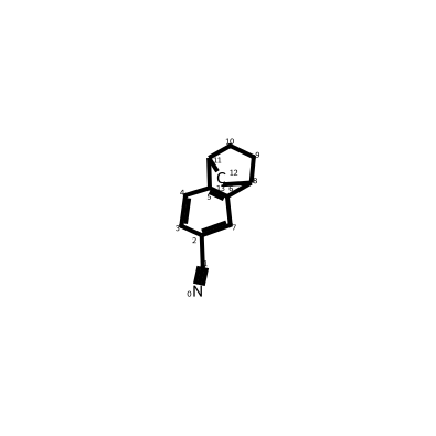 N#Cc1ccc2c(c1)C1CCC2CC1